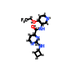 O=C(Nc1cnccc1OCC(F)(F)F)c1ccnc(NC2CCC2)n1